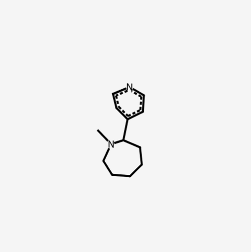 CN1CCCCCC1c1ccncc1